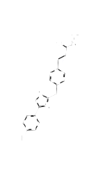 O=C(/C=C/c1ccc(Cc2nc(-c3ccc(F)cc3)c[nH]2)cc1)NO